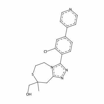 CC1(CO)Cc2nnc(-c3ccc(-c4ccncc4)cc3Cl)n2CCS1